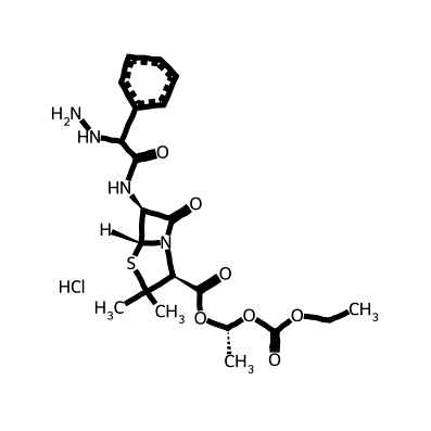 CCOC(=O)O[C@H](C)OC(=O)[C@@H]1N2C(=O)[C@H](NC(=O)C(NN)c3ccccc3)[C@H]2SC1(C)C.Cl